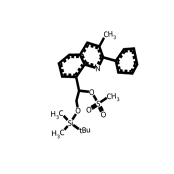 Cc1cc2cccc(C(CO[Si](C)(C)C(C)(C)C)OS(C)(=O)=O)c2nc1-c1ccccc1